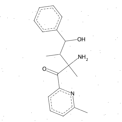 Cc1cccc(C(=O)C(C)(N)C(C)C(O)c2ccccc2)n1